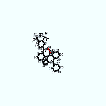 FC(F)(F)c1cc(N2c3ccccc3C3(c4ccccc4N(c4ccccc4)c4ccccc43)c3ccccc32)cnc1C(F)(F)F